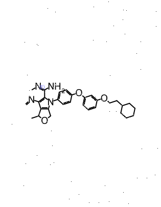 C=Nc1c2c(n(-c3ccc(Oc4cccc(OCCC5CCCCC5)c4)cc3)c1/C(N)=N\C)COC2C